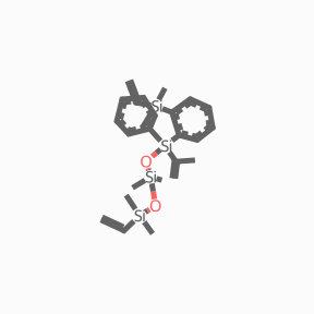 C=C[Si](C)(C)O[Si](C)(C)O[Si](C(=C)C)(c1ccccc1)c1ccccc1[Si](C)(C)C=C